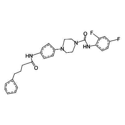 O=C(CCCc1ccccc1)Nc1ccc(N2CCN(C(=O)Nc3ccc(F)cc3F)CC2)cc1